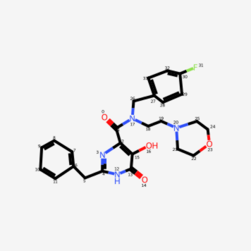 O=C(c1nc(Cc2ccccc2)[nH]c(=O)c1O)N(CCN1CCOCC1)Cc1ccc(F)cc1